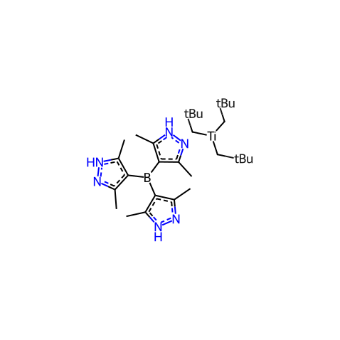 CC(C)(C)[CH2][Ti]([CH2]C(C)(C)C)[CH2]C(C)(C)C.Cc1n[nH]c(C)c1B(c1c(C)n[nH]c1C)c1c(C)n[nH]c1C